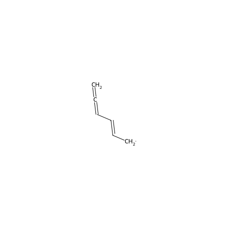 [CH2]C=CC=C=C